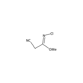 CO/C(CC#N)=N\Cl